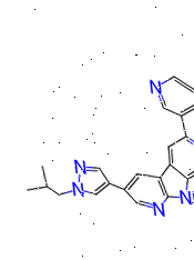 CC(C)Cn1cc(-c2cnc3[nH]c4cnc(-c5cccnc5)cc4c3c2)cn1